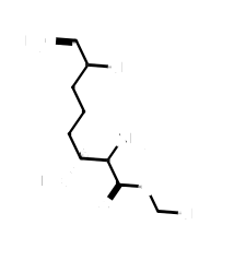 C=CC(C)CCC[C@@H](C)C(N)C(=O)OCC